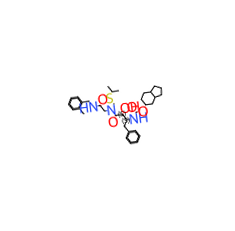 Cc1ccccc1CNC(=O)CN(CSC(C)C)C(=O)[C@@H](O)[C@H](Cc1ccccc1)NC(=O)OC1CCC2CCCC2C1